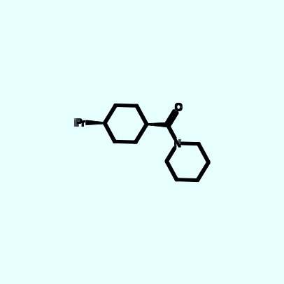 CC(C)[C@H]1CC[C@@H](C(=O)N2CCCCC2)CC1